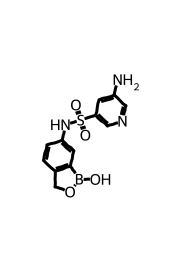 Nc1cncc(S(=O)(=O)Nc2ccc3c(c2)B(O)OC3)c1